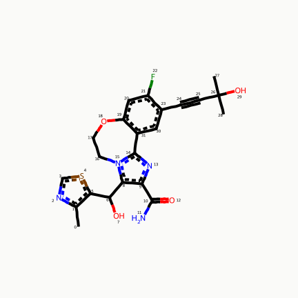 Cc1ncsc1C(O)c1c(C(N)=O)nc2n1CCOc1cc(F)c(C#CC(C)(C)O)cc1-2